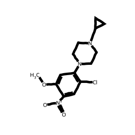 COc1cc(N2CCN(C3CC3)CC2)c(Cl)cc1[N+](=O)[O-]